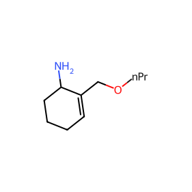 CCCOCC1=CCCCC1N